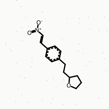 O=[N+]([O-])C=Cc1ccc(CCC2CCCO2)cc1